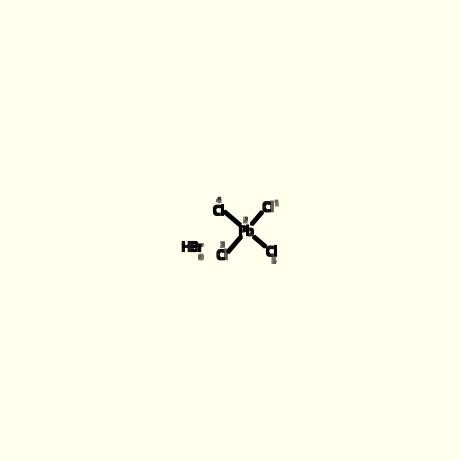 Br.[Cl][Pb]([Cl])([Cl])[Cl]